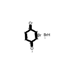 Br.Br.O=C1C=CC(=O)C=C1